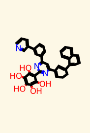 Oc1c(O)c(O)c(-c2nc(C3=CCCC(c4cccc5ccccc45)=C3)cc(-c3cccc(-c4cccnc4)c3)n2)c(O)c1O